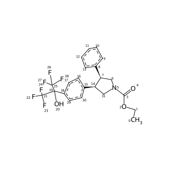 CCOC(=O)N1C[C@H](c2ccccc2)[C@H](c2ccc(C(O)(C(F)(F)F)C(F)(F)F)cc2)C1